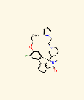 COCCOc1ccc(-c2cccc3c2C(OC)(C2CCCN(CCn4cccc4)C2)N(C)C3=O)cc1F